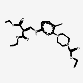 CCOC(=O)C(=CNc1ccc(F)c(N2CCN(C(=O)OCC)CC2)n1)C(=O)OCC